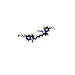 CCCC[N+]1=C(/C=C/C=C/C=C2/N(C)c3ccc(S(=O)(=O)O)cc3C2(C)C)C(C)(C)c2cc([N+](=O)[O-])ccc21